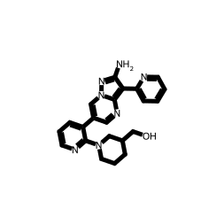 Nc1nn2cc(-c3cccnc3N3CCCC(CO)C3)cnc2c1-c1ccccn1